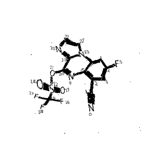 N#Cc1cc(F)cc2c1nc(OS(=O)(=O)C(F)(F)F)c1nccn12